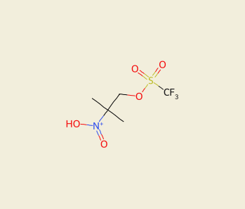 CC(C)(COS(=O)(=O)C(F)(F)F)[N+](=O)O